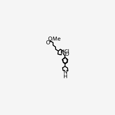 COC(=O)CCCCC1CCN(C(=O)c2ccc(C3CCNCC3)cc2)CC1.Cl